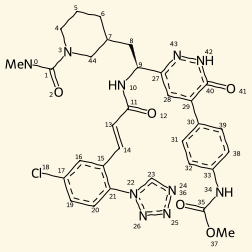 CNC(=O)N1CCCC(C[C@H](NC(=O)C=Cc2cc(Cl)ccc2-n2cnnn2)c2cc(-c3ccc(NC(=O)OC)cc3)c(=O)[nH]n2)C1